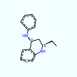 CC[C@@H]1C[C@H](Nc2ccccc2)c2ccccc2N1